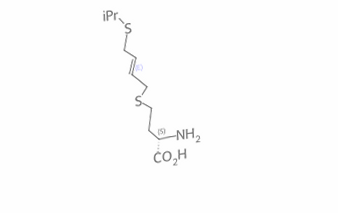 CC(C)SC/C=C/CSCC[C@H](N)C(=O)O